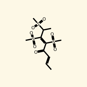 CC=CC(=O)C(=C(C(C)S(C)(=O)=O)S(C)(=O)=O)S(C)(=O)=O